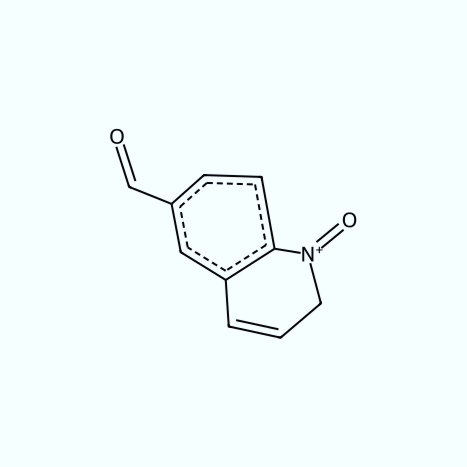 O=Cc1ccc2c(c1)C=CC[N+]2=O